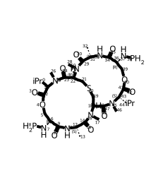 CC(C)C1C(=O)OC[C@@H](NP)C(=O)N[C@@H](C)C(=O)N(C)[C@H]2CSC[C@@H](C(=O)N1C)N(C)C(=O)[C@H](C)NC(=O)[C@H](NP)COC(=O)[C@H](C(C)C)N(C)C2=O